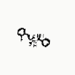 N=C(NS(=O)(=O)C=Cc1ccccc1F)c1ccccc1